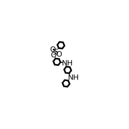 O=S(=O)(Oc1cccc(Nc2ccc(Nc3ccccc3)cc2)c1)c1ccccc1